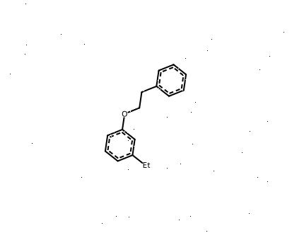 [CH2]Cc1cccc(OCCc2ccccc2)c1